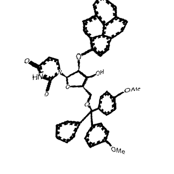 COc1ccc(C(OC[C@H]2O[C@@H](n3ccc(=O)[nH]c3=O)[C@@H](Oc3ccc4ccc5cccc6ccc3c4c56)C2O)(c2ccccc2)c2ccc(OC)cc2)cc1